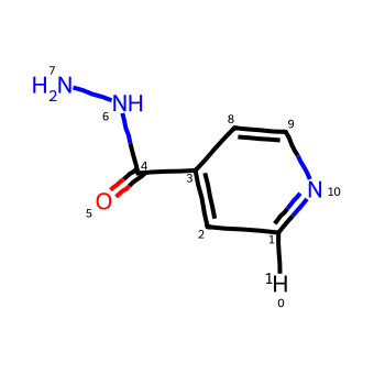 [1H]c1cc(C(=O)NN)ccn1